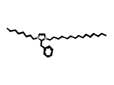 CCCCCCCCCCCCCCCN1C=CN(CCCCCCCC)C1Cc1ccccc1